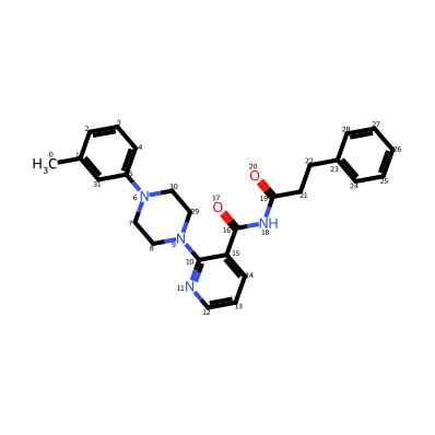 Cc1cccc(N2CCN(c3ncccc3C(=O)NC(=O)CCc3ccccc3)CC2)c1